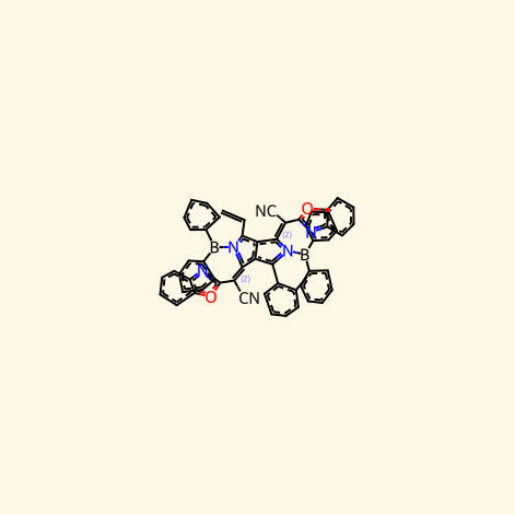 C=Cc1c2/c(=C(\C#N)c3nc4ccccc4o3)n(B(c3ccccc3)c3ccccc3)c(-c3ccccc3C)c2/c(=C(\C#N)c2nc3ccccc3o2)n1B(c1ccccc1)c1ccccc1